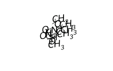 CCC[C@H](NC(=O)C(C)(C)C)C(=O)N1C(=O)C=C(OC)[C@@H]1CCC